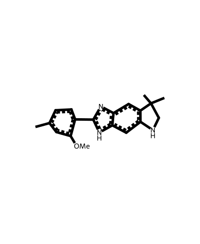 COc1cc(C)ccc1-c1nc2cc3c(cc2[nH]1)NCC3(C)C